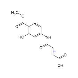 COC(=O)c1ccc(NC(=O)/C=C/C(=O)O)cc1O